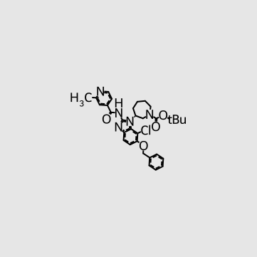 Cc1cc(C(=O)Nc2nc3ccc(OCc4ccccc4)c(Cl)c3n2[C@@H]2CCCCN(C(=O)OC(C)(C)C)C2)ccn1